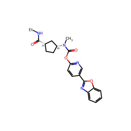 CCNC(=O)[C@H]1CC[C@@H](N(C)C(=O)Oc2ccc(-c3nc4ccccc4o3)cn2)C1